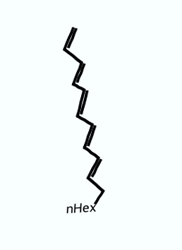 [CH2]CCCCCC/C=C/C=C/C=C/C=C/C=C